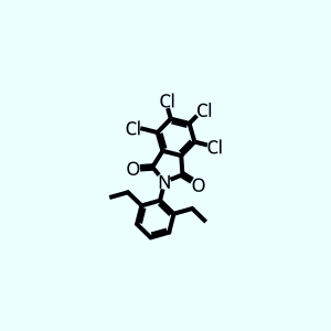 CCc1cccc(CC)c1N1C(=O)c2c(Cl)c(Cl)c(Cl)c(Cl)c2C1=O